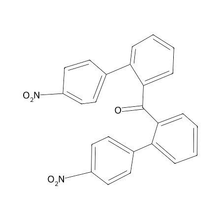 O=C(c1ccccc1-c1ccc([N+](=O)[O-])cc1)c1ccccc1-c1ccc([N+](=O)[O-])cc1